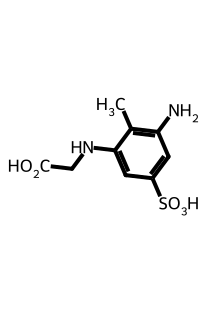 Cc1c(N)cc(S(=O)(=O)O)cc1NCC(=O)O